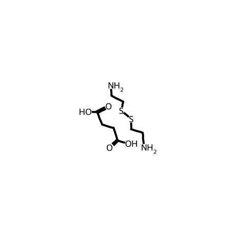 NCCSSCCN.O=C(O)CCC(=O)O